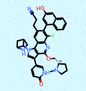 CN1CCC[C@H]1COc1nc2c(F)c(-c3cc(O)cc4ccccc34)c(CCC#N)cc2c2c1c(-c1ccc(=O)[nH]c1)cn2C1C2CNC1C2